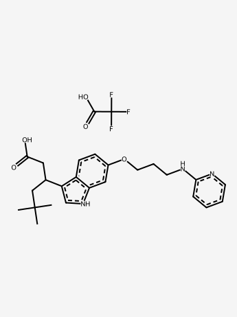 CC(C)(C)CC(CC(=O)O)c1c[nH]c2cc(OCCCNc3ccccn3)ccc12.O=C(O)C(F)(F)F